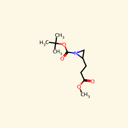 COC(=O)CCC1CN1C(=O)OC(C)(C)C